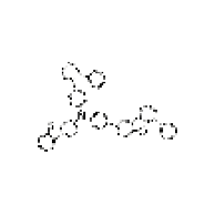 c1ccc(-c2ccccc2-c2ccc(N(c3ccc(-c4ccc5oc6c(-c7ccccc7)cccc6c5c4)cc3)c3ccc4c(c3)sc3ccccc34)cc2)cc1